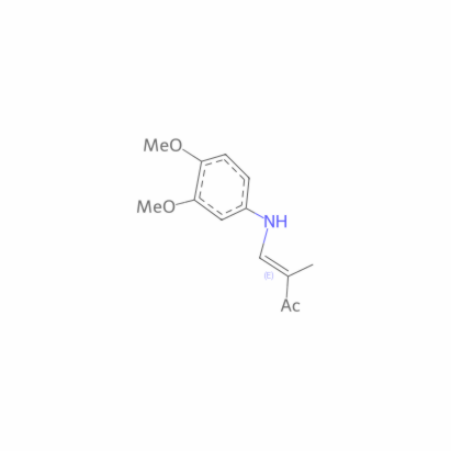 COc1ccc(N/C=C(\C)C(C)=O)cc1OC